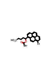 CCCC(=O)OC(CCCC(=O)O)c1ccc2ccc3ccc(CC)c4ccc1c2c34